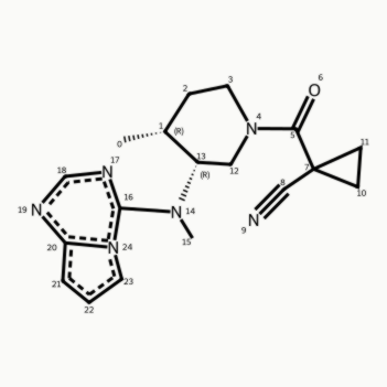 C[C@@H]1CCN(C(=O)C2(C#N)CC2)C[C@@H]1N(C)c1ncnc2cccn12